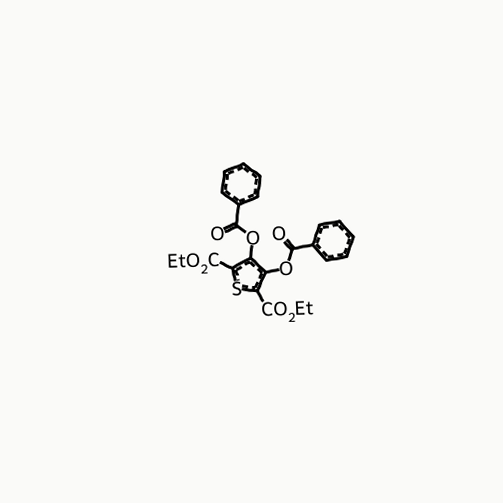 CCOC(=O)c1sc(C(=O)OCC)c(OC(=O)c2ccccc2)c1OC(=O)c1ccccc1